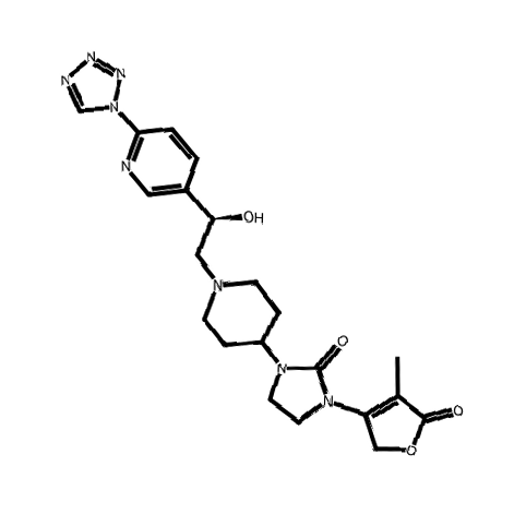 CC1=C(N2CCN(C3CCN(C[C@H](O)c4ccc(-n5cnnn5)nc4)CC3)C2=O)COC1=O